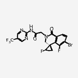 O=C(CN1C[C@@]2(C[C@H]2F)c2c(ccc(Br)c2F)C1=O)Nc1ncc(C(F)(F)F)cn1